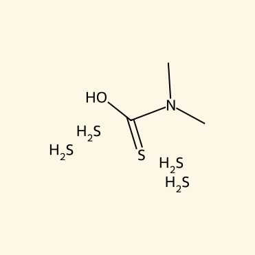 CN(C)C(O)=S.S.S.S.S